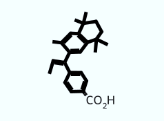 CC=C(c1ccc(C(=O)O)cc1)c1cc2c(cc1C)C(C)(C)CCC2(C)C